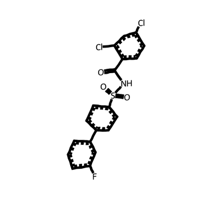 O=C(NS(=O)(=O)c1ccc(-c2cccc(F)c2)cc1)c1ccc(Cl)cc1Cl